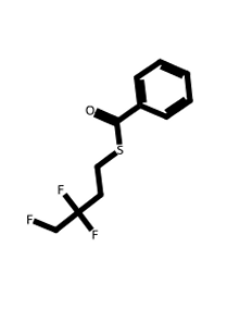 O=C(SCCC(F)(F)CF)c1ccccc1